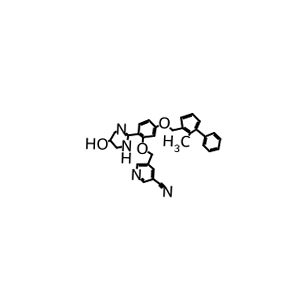 Cc1c(COc2ccc(C3=NCC(O)CN3)c(OCc3cncc(C#N)c3)c2)cccc1-c1ccccc1